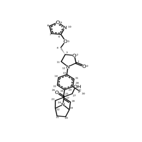 O=C1O[C@@H](COc2ccon2)CN1c1ccc(C2=CC3CCC(C2)N3C(=O)CO)c(F)c1